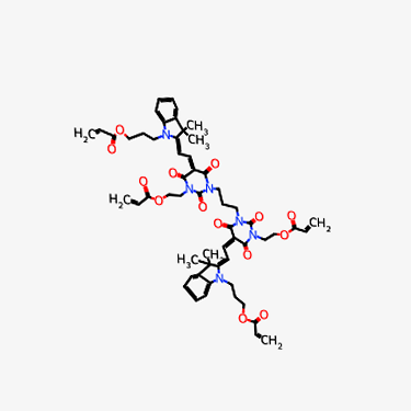 C=CC(=O)OCCCN1/C(=C/C=C2/C(=O)N(CCCN3C(=O)/C(=C/C=C4/N(CCCOC(=O)C=C)c5ccccc5C4(C)C)C(=O)N(CCOC(=O)C=C)C3=O)C(=O)N(CCOC(=O)C=C)C2=O)C(C)(C)c2ccccc21